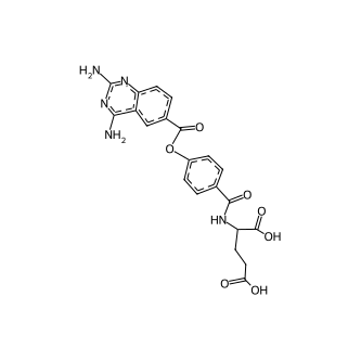 Nc1nc(N)c2cc(C(=O)Oc3ccc(C(=O)NC(CCC(=O)O)C(=O)O)cc3)ccc2n1